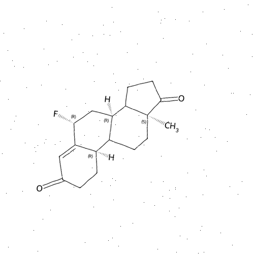 C[C@]12CCC3[C@@H](C[C@@H](F)C4=CC(=O)CC[C@@H]43)C1CCC2=O